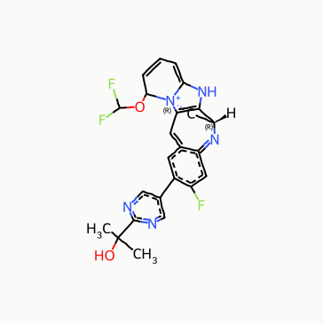 CC(C)(O)c1ncc(-c2cc3c(cc2F)=N[C@@H]2C[N@@+]45C(=CC=CC4OC(F)F)NC2=C5C=3)cn1